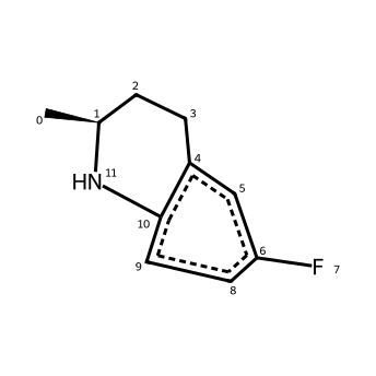 C[C@H]1CCc2cc(F)ccc2N1